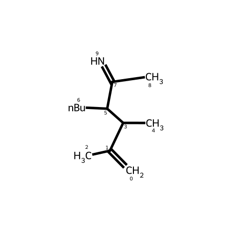 C=C(C)C(C)C(CCCC)C(C)=N